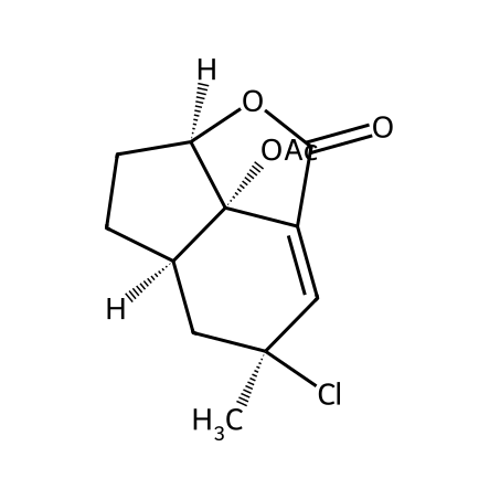 CC(=O)O[C@]12C3=C[C@@](C)(Cl)C[C@H]1CC[C@H]2OC3=O